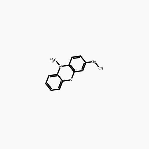 CN1c2ccccc2Sc2cc([Se]C#N)ccc21